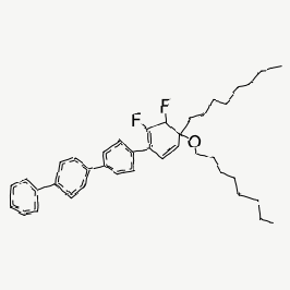 CCCCCCCCOC1(CCCCCCCC)C=CC(c2ccc(-c3ccc(-c4ccccc4)cc3)cc2)=C(F)C1F